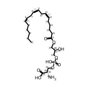 CCCCC/C=C\C/C=C\C/C=C\CCCCC(=O)OC[C@@H](O)COP(=O)(O)OC[C@H](N)C(=O)O